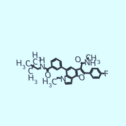 CCn1ccc2c3oc(-c4ccc(F)cc4)c(C(=O)NC)c3cc(-c3cccc(C(=O)NCC(C)(C)C)c3)c21